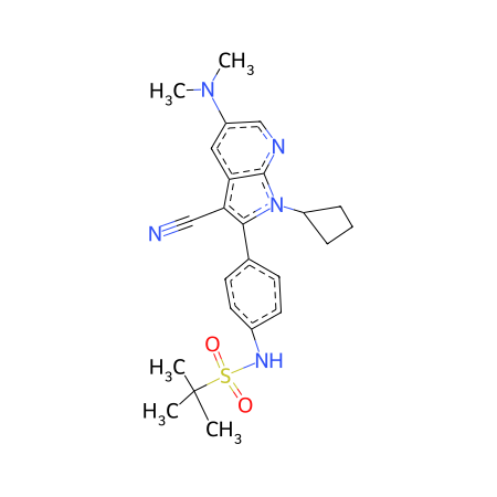 CN(C)c1cnc2c(c1)c(C#N)c(-c1ccc(NS(=O)(=O)C(C)(C)C)cc1)n2C1CCC1